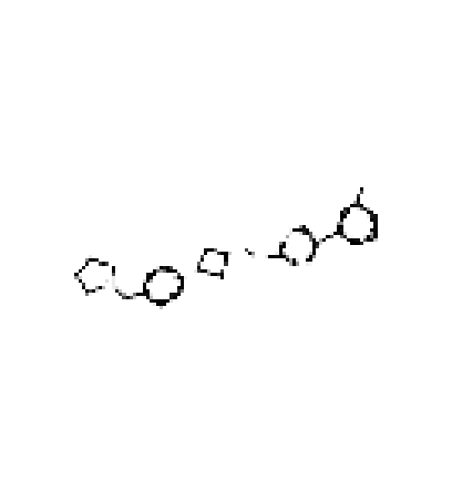 Clc1cccc(-c2cnc(OC[C@H]3C[C@@H](c4ccc(CN5CCCC5)cc4)C3)nc2)c1